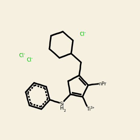 CCCC1=C(CC2CCCCC2)CC([SiH2]c2ccccc2)=[C]1[Ti+3].[Cl-].[Cl-].[Cl-]